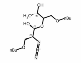 CCCCOCC(O[C@H](O)[C@H](COCCCC)N=[N+]=[N-])[C@H](C)O